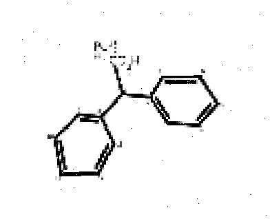 O=C(O)C(c1ccccc1)c1ccccc1.[Pd+2]